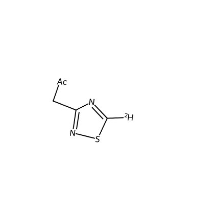 [2H]c1nc(CC(C)=O)ns1